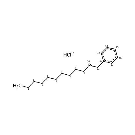 CCCCCCCCCC[P]Cc1ccccc1.Cl